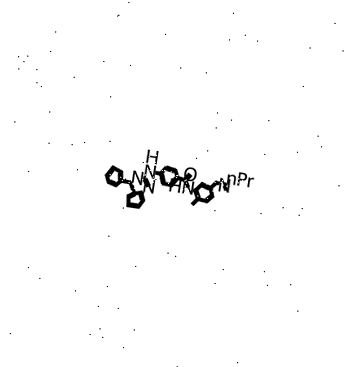 CCCN(C)Cc1ccc(C)c(NC(=O)c2ccc(Nc3nc(-c4ccccc4)c4ccccc4n3)cc2)c1